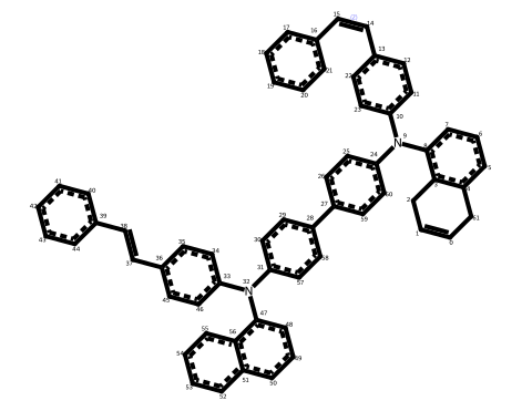 C1=CCc2c(cccc2N(c2ccc(/C=C\c3ccccc3)cc2)c2ccc(-c3ccc(N(c4ccc(C=Cc5ccccc5)cc4)c4cccc5ccccc45)cc3)cc2)C1